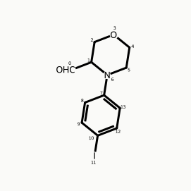 O=CC1COCCN1c1ccc(I)cc1